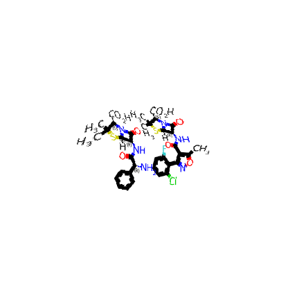 CC1(C)S[C@@H]2[C@H](NC(=O)[C@H](N)c3ccccc3)C(=O)N2[C@H]1C(=O)O.Cc1onc(-c2c(F)cccc2Cl)c1C(=O)N[C@@H]1C(=O)N2[C@@H]1SC(C)(C)[C@@H]2C(=O)O